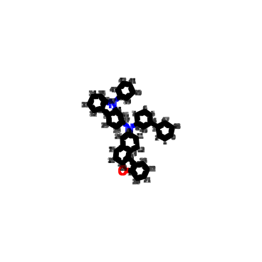 c1ccc(-c2cccc(N(c3ccc4c(ccc5oc6ccccc6c54)c3)c3ccc4c5ccccc5n(-c5ccccc5)c4c3)c2)cc1